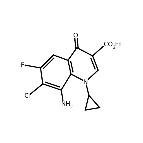 CCOC(=O)c1cn(C2CC2)c2c(N)c(Cl)c(F)cc2c1=O